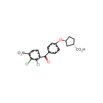 O=C(c1ccc(O[C@H]2CC[C@H](C(=O)O)C2)cc1)c1ccc([N+](=O)[O-])c(Cl)c1Cl